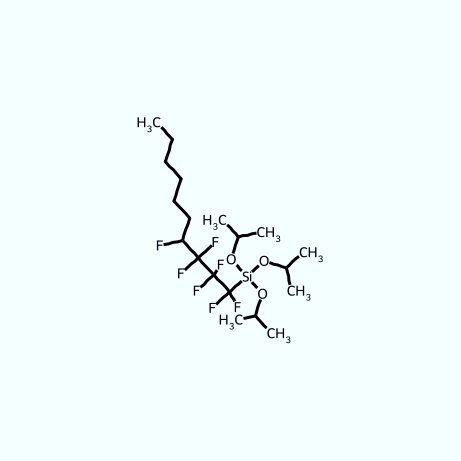 CCCCCCC(F)C(F)(F)C(F)(F)C(F)(F)[Si](OC(C)C)(OC(C)C)OC(C)C